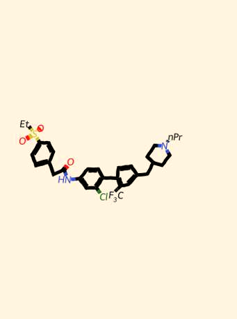 CCCN1CCC(Cc2ccc(-c3ccc(NC(=O)Cc4ccc(S(=O)(=O)CC)cc4)cc3Cl)c(C(F)(F)F)c2)CC1